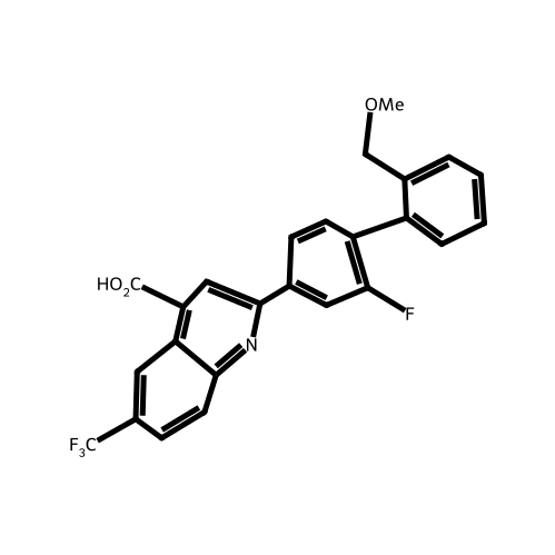 COCc1ccccc1-c1ccc(-c2cc(C(=O)O)c3cc(C(F)(F)F)ccc3n2)cc1F